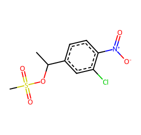 CC(OS(C)(=O)=O)c1ccc([N+](=O)[O-])c(Cl)c1